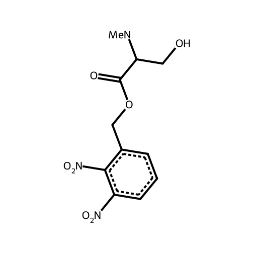 CNC(CO)C(=O)OCc1cccc([N+](=O)[O-])c1[N+](=O)[O-]